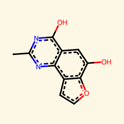 Cc1nc(O)c2cc(O)c3occc3c2n1